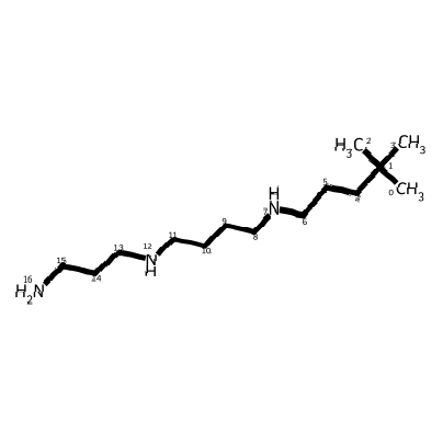 CC(C)(C)CCCNCCCCNCCCN